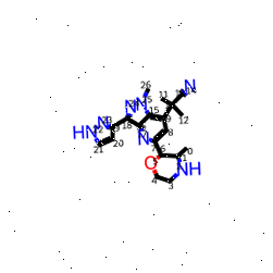 CC1NCCOC1c1cc(C(C)(C)C#N)c2c(n1)c(-c1cc[nH]n1)nn2C